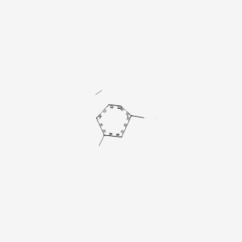 Cc1cccc(C)c1.O=CO